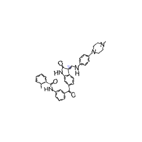 Cc1ccccc1C(=O)Nc1cccc(C(=O)c2ccc3c(c2)NC(=O)/C3=C/Nc2ccc(N3CCN(C)CC3)cc2)c1